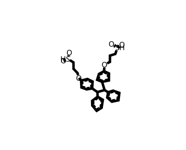 O=[SH](=O)CCCOc1ccc(C(c2ccccc2)C(c2ccccc2)c2ccc(OCCC[SH](=O)=O)cc2)cc1